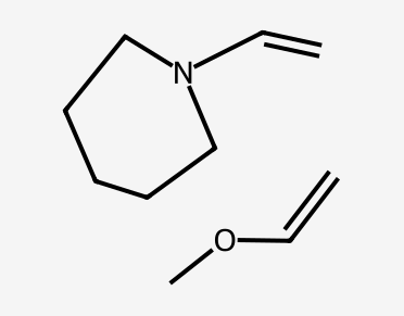 C=CN1CCCCC1.C=COC